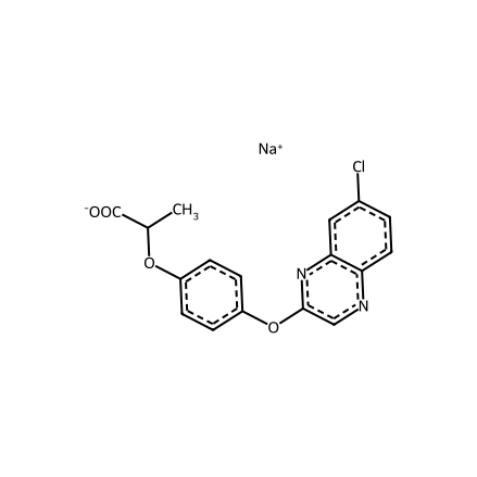 CC(Oc1ccc(Oc2cnc3ccc(Cl)cc3n2)cc1)C(=O)[O-].[Na+]